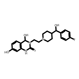 Oc1ccc2c(c1)NC(=S)N(CCN1CCC(C(O)c3ccc(F)cc3)CC1)C2O